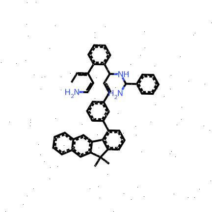 C/C=C(\C=C/N)c1ccccc1C(/C=C/c1cccc(-c2cccc3c2-c2cc4ccccc4cc2C3(C)C)c1)NC(N)c1ccccc1